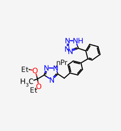 CCCn1nc(C(C)(OCC)OCC)nc1Cc1ccc(-c2ccccc2-c2nnn[nH]2)cc1